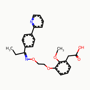 CCC(=NOCCOc1cccc(CC(=O)O)c1OC)c1ccc(-c2ccccn2)cc1